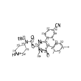 Cc1ccc(-c2c(-c3ccc(C#N)cc3)nc(OC(=O)N(C3CCNCC3)C(C)(C)C)n(C)c2=O)cc1